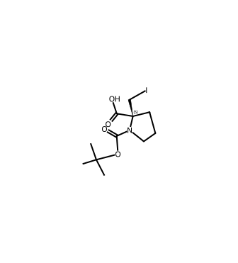 CC(C)(C)OC(=O)N1CCC[C@@]1(CI)C(=O)O